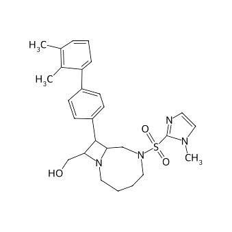 Cc1cccc(-c2ccc(C3C(CO)N4CCCCN(S(=O)(=O)c5nccn5C)CC34)cc2)c1C